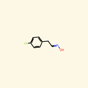 ON=[C]Cc1ccc(F)cc1